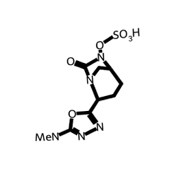 CNc1nnc(C2CCC3CN2C(=O)N3OS(=O)(=O)O)o1